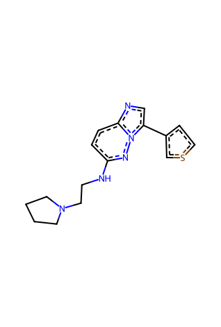 c1cc(-c2cnc3ccc(NCCN4CCCC4)nn23)cs1